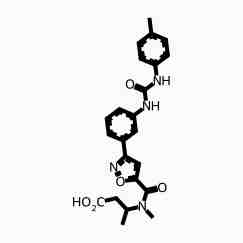 Cc1ccc(NC(=O)Nc2cccc(-c3cc(C(=O)N(C)C(C)CC(=O)O)on3)c2)cc1